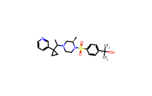 CC(N1CCN(S(=O)(=O)c2ccc(C(O)(C(F)(F)F)C(F)(F)F)cc2)[C@H](C)C1)C1(c2cccnc2)CC1